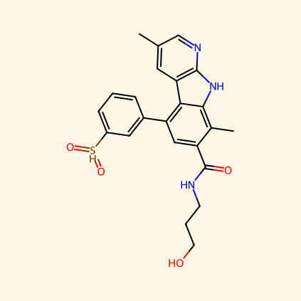 Cc1cnc2[nH]c3c(C)c(C(=O)NCCCO)cc(-c4cccc([SH](=O)=O)c4)c3c2c1